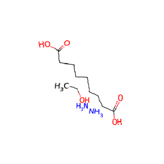 CCO.N.N.O=C(O)CCCCCCCC(=O)O